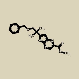 COC(=O)c1cnc2oc(C(C)(C)COCc3ccccc3)cc2n1